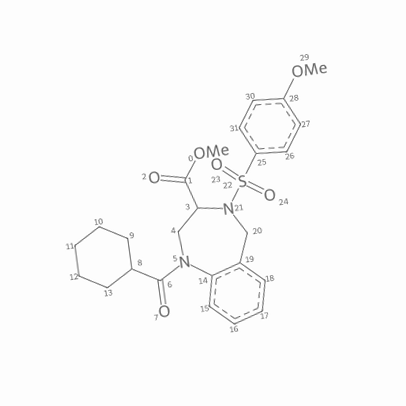 COC(=O)C1CN(C(=O)C2CCCCC2)c2ccccc2CN1S(=O)(=O)c1ccc(OC)cc1